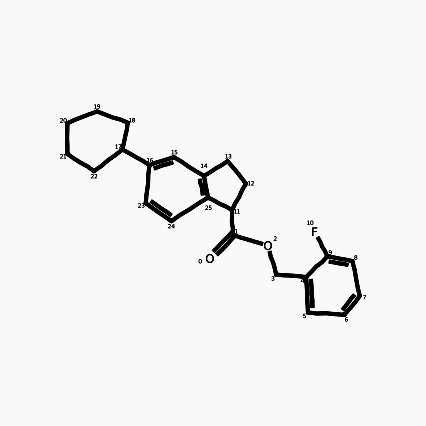 O=C(OCc1ccccc1F)C1CCc2cc(C3CCCCC3)ccc21